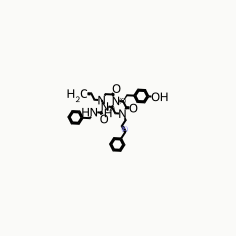 C=CCN1CC(=O)N2[C@@H](Cc3ccc(O)cc3)C(=O)N(C/C=C/c3ccccc3)C[C@@H]2N1C(=O)NCc1ccccc1